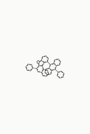 c1ccc(-c2c3ccccc3c(-c3cccc4oc5c(-c6ccccc6)cc6ccccc6c5c34)c3ccccc23)cc1